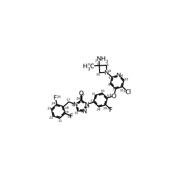 CC1(N)CN(c2cc(Oc3ccc(-n4ncn(Cc5c(F)cccc5F)c4=O)cc3F)c(Cl)cn2)C1